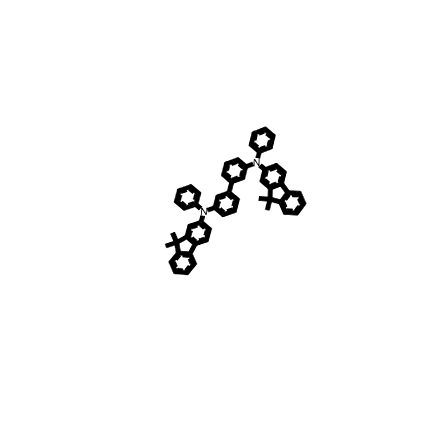 CC1(C)c2ccccc2-c2ccc(N(c3ccccc3)c3cccc(-c4cccc(N(c5ccccc5)c5ccc6c(c5)C(C)(C)c5ccccc5-6)c4)c3)cc21